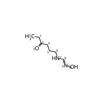 CCC(=O)CCCNC=NO